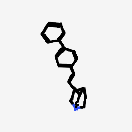 C(=CC1CN2CCC1CC2)c1ccc(-c2ccccc2)cc1